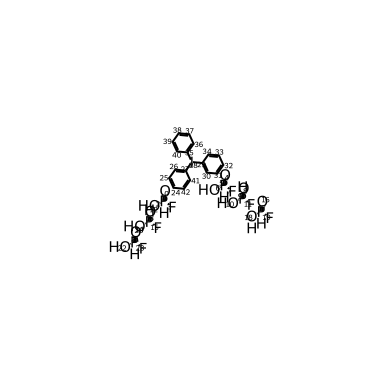 O=[PH](O)F.O=[PH](O)F.O=[PH](O)F.O=[PH](O)F.O=[PH](O)F.O=[PH](O)F.c1ccc(I(c2ccccc2)c2ccccc2)cc1